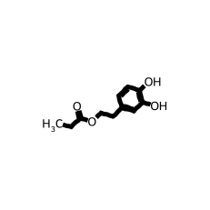 CCC(=O)OCCc1ccc(O)c(O)c1